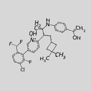 C=C(O)c1ccc(NC(=C)C(CC2CC(C)(C)C2)c2ccc(-c3c(C(F)F)ccc(Cl)c3F)c[n+]2O)cc1